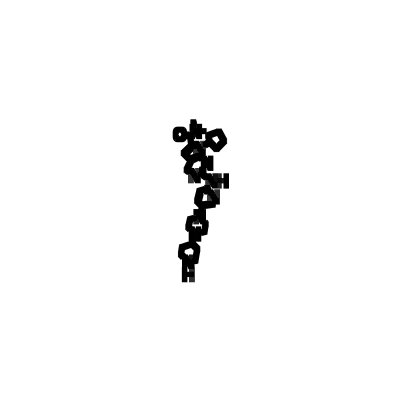 CN(C)C(=O)c1cc2cnc(Nc3ccc(N4CCN(C5CCNCC5)CC4)cn3)nc2n1C1CCCC1